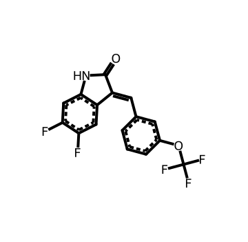 O=C1Nc2cc(F)c(F)cc2/C1=C\c1cccc(OC(F)(F)F)c1